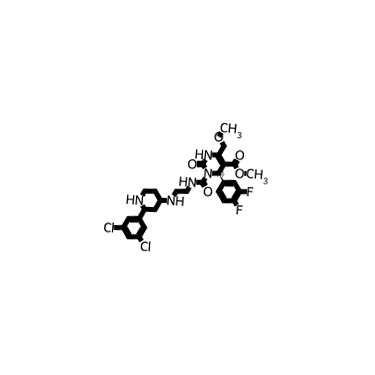 COCC1=C(C(=O)OC)[C@H](c2ccc(F)c(F)c2)N(C(=O)NCCNC2CCNC(c3cc(Cl)cc(Cl)c3)C2)C(=O)N1